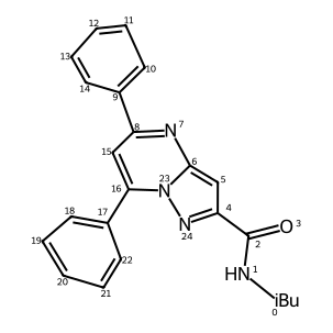 CCC(C)NC(=O)c1cc2nc(-c3ccccc3)cc(-c3ccccc3)n2n1